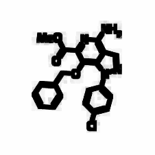 COC(=O)c1nc(N)c2cnn(-c3ccc(Cl)cc3)c2c1OCc1ccccc1